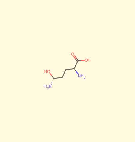 N[C@H](O)CC[C@H](N)C(=O)O